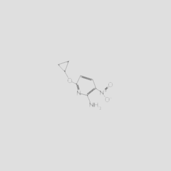 Nc1nc(OC2CC2)ccc1[N+](=O)[O-]